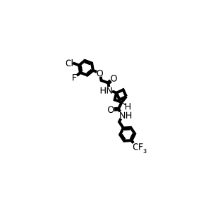 O=C(COc1ccc(Cl)c(F)c1)NC12CC(C1)[C@@H](C(=O)NCc1ccc(C(F)(F)F)cc1)C2